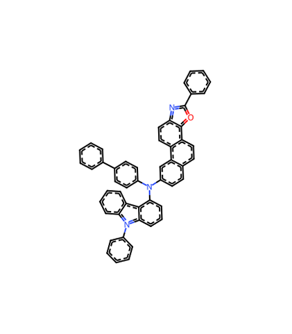 c1ccc(-c2ccc(N(c3ccc4ccc5c(ccc6nc(-c7ccccc7)oc65)c4c3)c3cccc4c3c3ccccc3n4-c3ccccc3)cc2)cc1